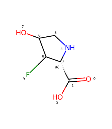 O=C(O)[C@H]1NCC(O)C1F